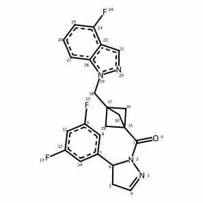 O=C(N1N=CCC1c1cc(F)cc(F)c1)C12CC(Cn3ncc4c(F)cccc43)(C1)C2